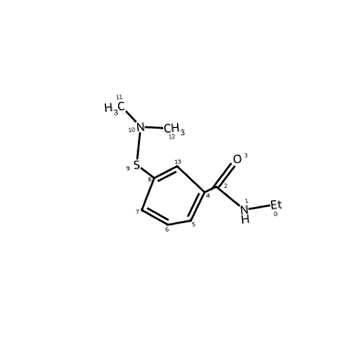 CCNC(=O)c1cccc(SN(C)C)c1